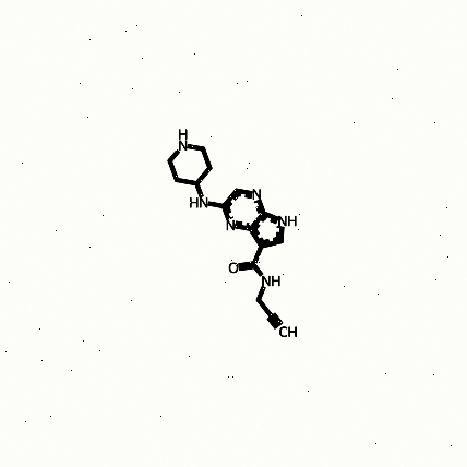 C#CCNC(=O)c1c[nH]c2ncc(NC3CCNCC3)nc12